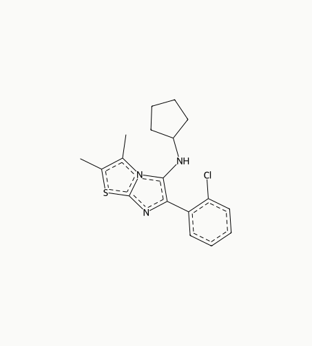 Cc1sc2nc(-c3ccccc3Cl)c(NC3CCCC3)n2c1C